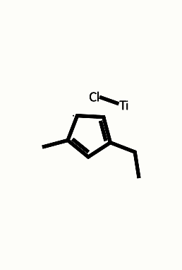 CCC1=C[CH]C(C)=C1.[Cl][Ti]